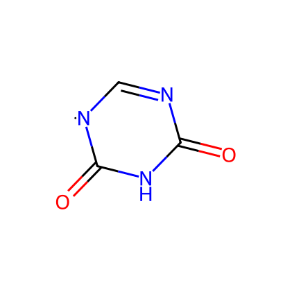 O=C1[N]C=NC(=O)N1